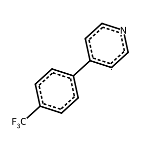 FC(F)(F)c1ccc(-c2[c]cncc2)cc1